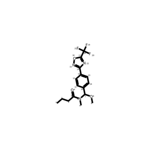 CCCC(=O)N(C)C(OC)c1ccc(-c2noc(C(F)(F)F)n2)cc1